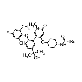 Cc1cc(F)cc(C)c1Oc1ccc(C(C)(C)O)cc1-c1cn(C)c(=O)cc1O[C@H]1CC[C@H](NC(=O)C(C)(C)C)CC1